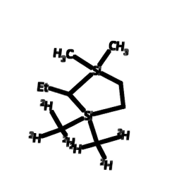 [2H]C([2H])([2H])[Si]1(C([2H])([2H])[2H])CC[Si](C)(C)C1CC